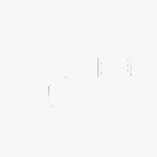 C=[C]([SnH])CCc1ccccc1